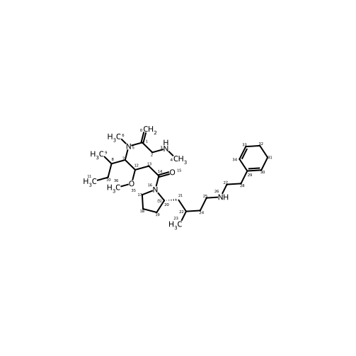 C=C(CNC)N(C)C(C(C)CC)C(CC(=O)N1CCC[C@H]1CC(C)CCNCCC1=CCCC=C1)OC